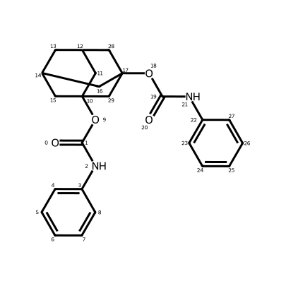 O=C(Nc1ccccc1)OC12CC3CC(C1)CC(OC(=O)Nc1ccccc1)(C3)C2